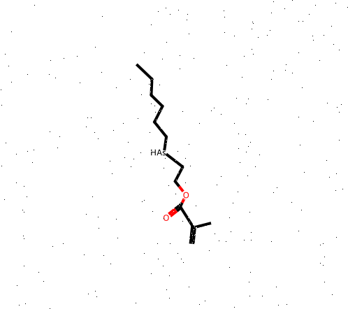 C=C(C)C(=O)OCC[AsH]CCCCCC